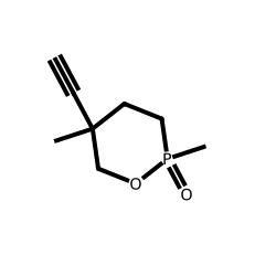 C#CC1(C)CCP(C)(=O)OC1